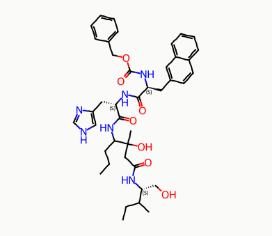 CCCC(NC(=O)[C@H](Cc1c[nH]cn1)NC(=O)[C@H](Cc1ccc2ccccc2c1)NC(=O)OCc1ccccc1)C(C)(O)CC(=O)N[C@H](CO)C(C)CC